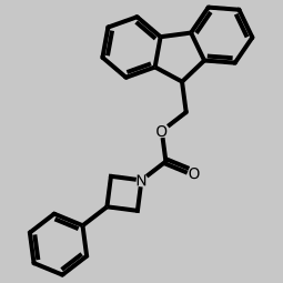 O=C(OCC1c2ccccc2-c2ccccc21)N1CC(c2ccccc2)C1